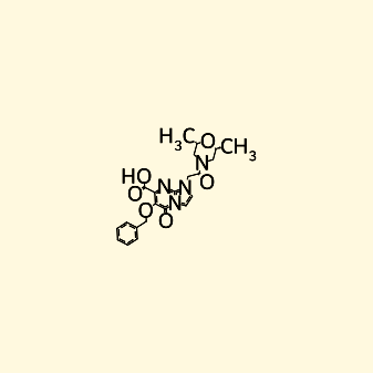 C[C@H]1CN(C(=O)Cn2ccn3c(=O)c(OCc4ccccc4)c(C(=O)O)nc23)C[C@H](C)O1